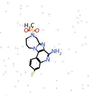 CS(=O)(=O)N1CCCn2c(nc3c(N)nc4cc(F)ccc4c32)C1